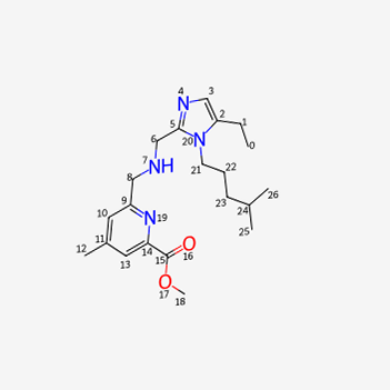 CCc1cnc(CNCc2cc(C)cc(C(=O)OC)n2)n1CCCC(C)C